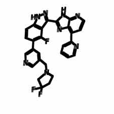 Fc1c(-c2cncc(CN3CCC(F)(F)C3)c2)ccc2[nH]nc(-c3nc4c(-c5ccccn5)ccnc4[nH]3)c12